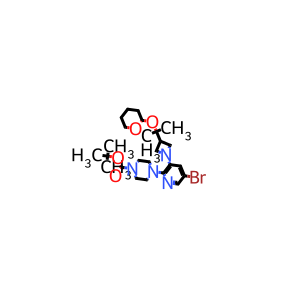 CC(C)(C)OC(=O)N1CCN(c2ncc(Br)cc2N2CC(C(C)(C)OC3CCCCO3)C2)CC1